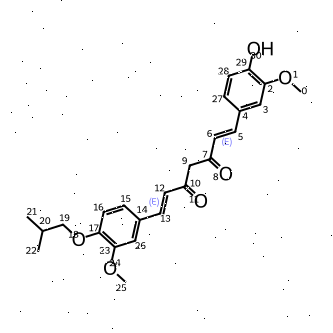 COc1cc(/C=C/C(=O)CC(=O)/C=C/c2ccc(OCC(C)C)c(OC)c2)ccc1O